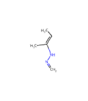 C=NN/C(C)=C/C